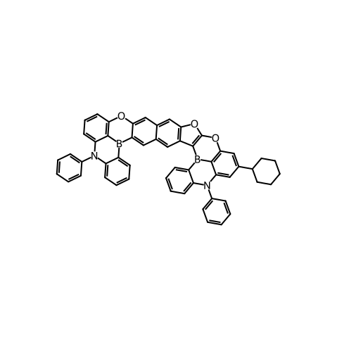 c1ccc(N2c3ccccc3B3c4cc5cc6c7c(oc6cc5cc4Oc4cccc2c43)Oc2cc(C3CCCCC3)cc3c2B7c2ccccc2N3c2ccccc2)cc1